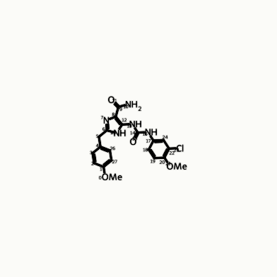 COc1ccc(Cc2nc(C(N)=O)c(NC(=O)Nc3ccc(OC)c(Cl)c3)[nH]2)cc1